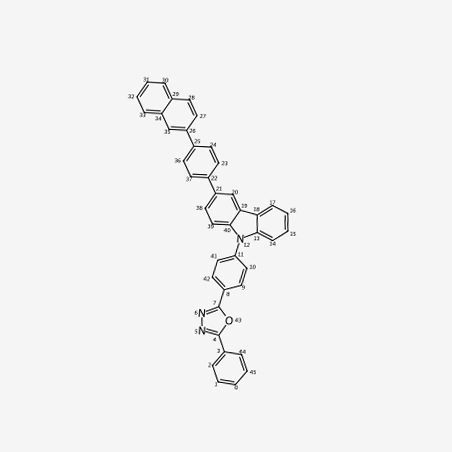 c1ccc(-c2nnc(-c3ccc(-n4c5ccccc5c5cc(-c6ccc(-c7ccc8ccccc8c7)cc6)ccc54)cc3)o2)cc1